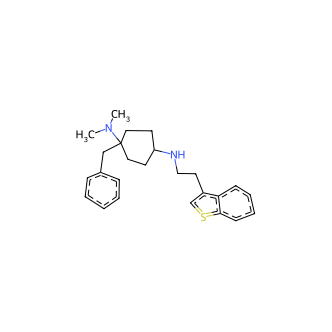 CN(C)C1(Cc2ccccc2)CCC(NCCc2csc3ccccc23)CC1